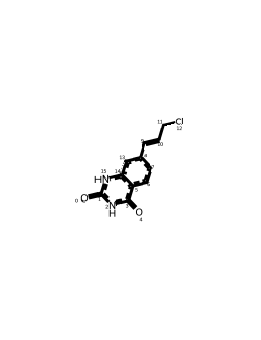 O=c1[nH]c(=O)c2ccc(C=CCCl)cc2[nH]1